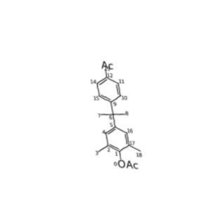 CC(=O)Oc1c(C)cc(C(C)(C)c2ccc(C(C)=O)cc2)cc1C